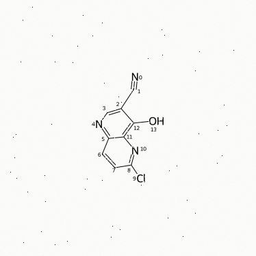 N#Cc1cnc2ccc(Cl)nc2c1O